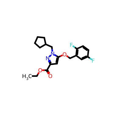 CCOC(=O)c1cc(OCc2cc(F)ccc2F)n(CC2CCCC2)n1